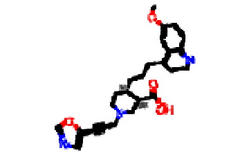 COc1ccc2nccc(CCC[C@@H]3CCN(CC#Cc4cnco4)C[C@@H]3C(=O)O)c2c1